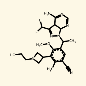 COc1c(C(C)N2N=C(C(F)F)C3C(N)=NC=NC32)cc(C#N)c(C)c1C1CN(CCO)C1